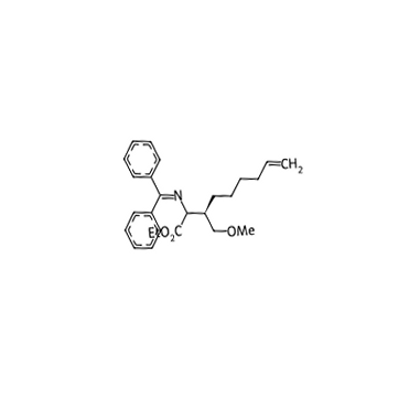 C=CCCCC[C@@H](COC)C(N=C(c1ccccc1)c1ccccc1)C(=O)OCC